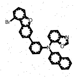 Brc1cccc2oc3cc(-c4cccc(N(c5ccc6ccccc6c5)c5cccc6ncoc56)c4)ccc3c12